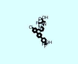 O=C(O)c1cnn(-c2cccc(-c3cc(Cl)ccc3-c3ccc(C4CCC(O)(C(F)(F)F)CC4)cc3)n2)c1C(F)(F)F